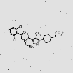 CC(C)(C)CN(CC(=O)c1c(Cl)cncc1Cl)C(=O)c1cnn(C2CCC(CC(=O)O)CC2)c1C(F)(F)F